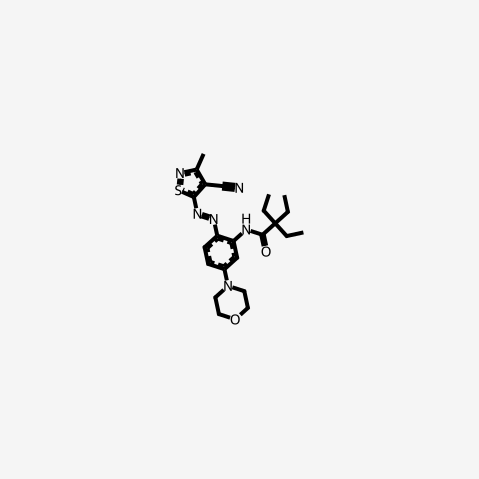 CCC(CC)(CC)C(=O)Nc1cc(N2CCOCC2)ccc1N=Nc1snc(C)c1C#N